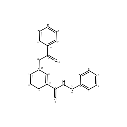 O=C(NNc1ccccc1)C1=CN(CC(=O)c2ccccc2)C=CC1